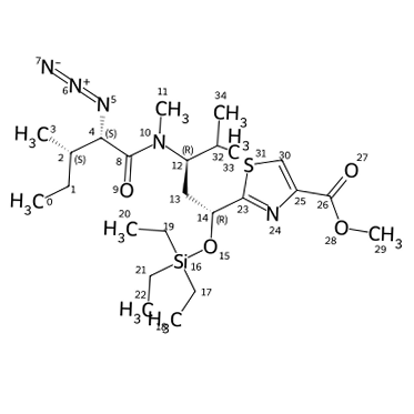 CC[C@H](C)[C@H](N=[N+]=[N-])C(=O)N(C)[C@H](C[C@@H](O[Si](CC)(CC)CC)c1nc(C(=O)OC)cs1)C(C)C